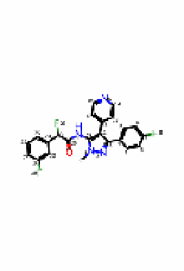 Cn1nc(-c2ccc(F)cc2)c(-c2ccncc2)c1NC(=O)C(F)c1cccc(F)c1